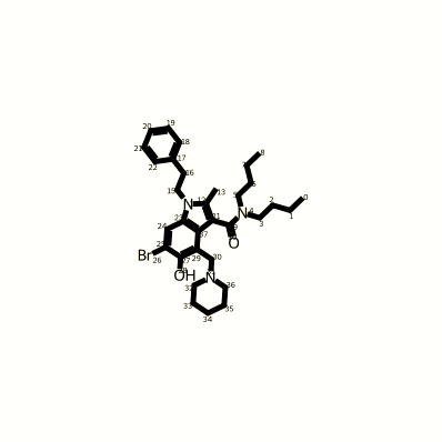 CCCCN(CCCC)C(=O)c1c(C)n(CCc2ccccc2)c2cc(Br)c(O)c(CN3CCCCC3)c12